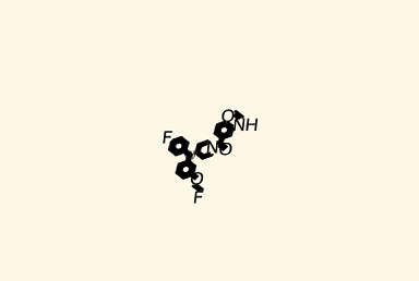 O=C(c1ccc2c(c1)NC=CO2)N1CCC([C@@H](c2ccc(F)cc2)c2cccc(OCCF)c2)CC1